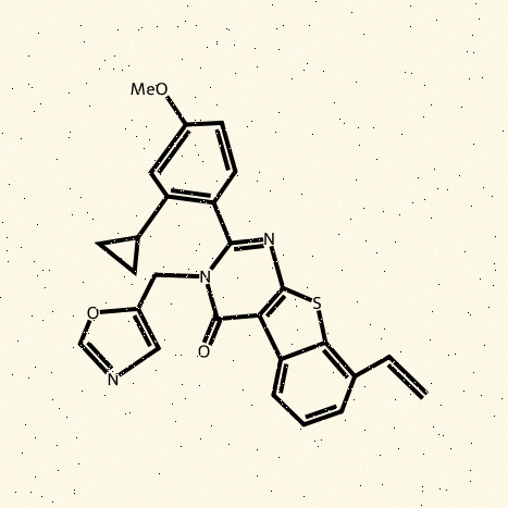 C=Cc1cccc2c1sc1nc(-c3ccc(OC)cc3C3CC3)n(Cc3cnco3)c(=O)c12